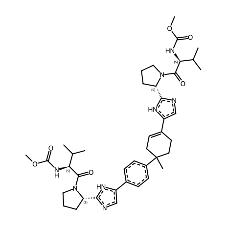 COC(=O)N[C@H](C(=O)N1CCC[C@H]1c1ncc(C2=CCC(C)(c3ccc(-c4cnc([C@@H]5CCCN5C(=O)[C@@H](NC(=O)OC)C(C)C)[nH]4)cc3)CC2)[nH]1)C(C)C